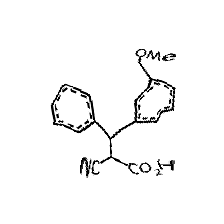 COc1cccc(C(c2ccccc2)C(C#N)C(=O)O)c1